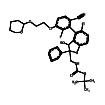 CC(C)(C)OC(=O)NCC1(c2ccccc2)Oc2ccc(Cl)c(-c3c(C#N)ccc(OCCOC4CCCCO4)c3F)c2C1O